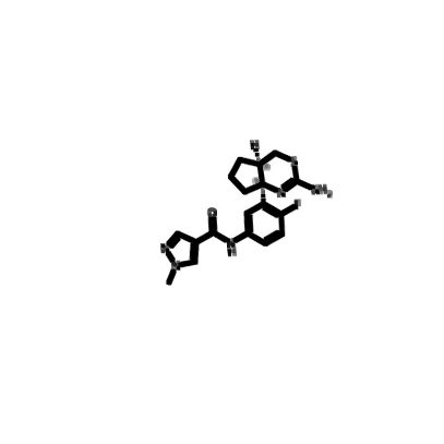 Cn1cc(C(=O)Nc2ccc(F)c([C@]34CCC[C@H]3CSC(N)=N4)c2)cn1